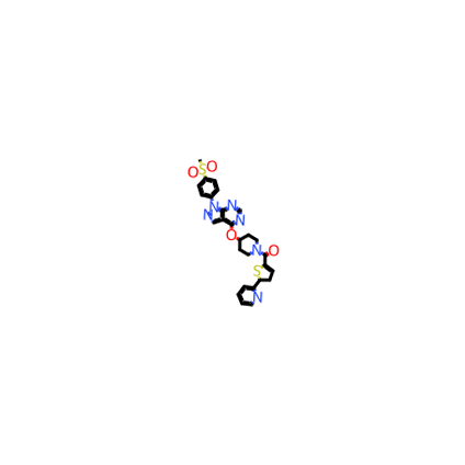 CS(=O)(=O)c1ccc(-n2ncc3c(OC4CCN(C(=O)C5=CCC(c6ccccn6)S5)CC4)ncnc32)cc1